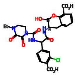 CCN1CCN(C(=O)NC(C(=O)N[C@H]2Cc3cccc(C(=O)O)c3OB2O)c2ccc(C(=O)O)c(Cl)c2)C(=O)C1=O